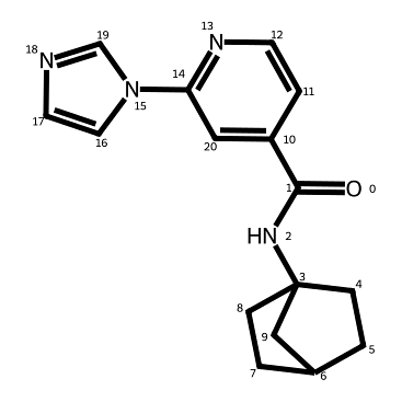 O=C(NC12CCC(CC1)C2)c1ccnc(-n2ccnc2)c1